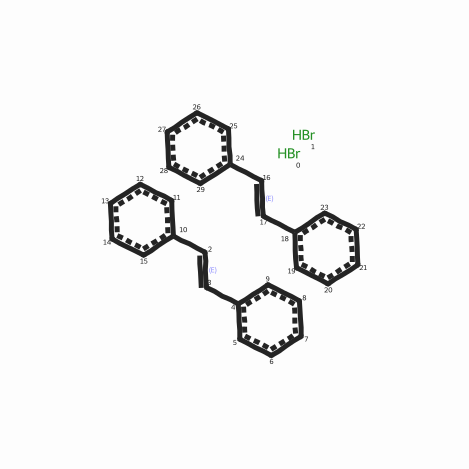 Br.Br.C(=C\c1ccccc1)/c1ccccc1.C(=C\c1ccccc1)/c1ccccc1